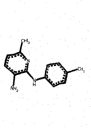 Cc1ccc(Nc2nc(C)ccc2N)cc1